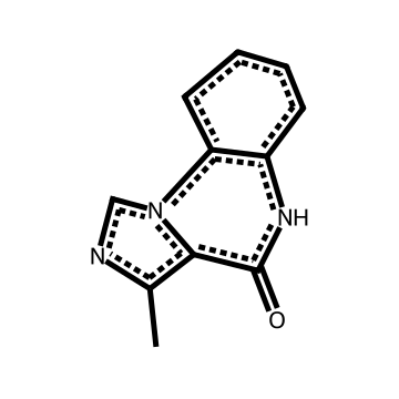 Cc1ncn2c1c(=O)[nH]c1ccccc12